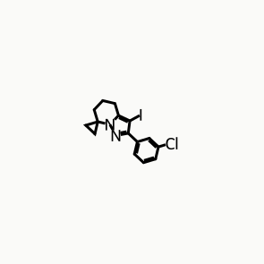 Clc1cccc(-c2nn3c(c2I)CCCC32CC2)c1